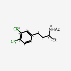 CCC(CCc1ccc(Cl)c(Cl)c1)NC(C)=O